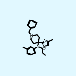 CCC(=O)N(c1cccc(C)c1)C1(c2nc(C)cs2)CCN(Cc2ccccc2)CC1